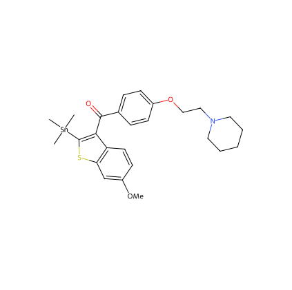 COc1ccc2c(C(=O)c3ccc(OCCN4CCCCC4)cc3)[c]([Sn]([CH3])([CH3])[CH3])sc2c1